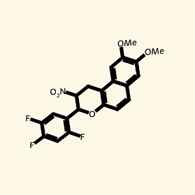 COc1cc2ccc3c(c2cc1OC)CC([N+](=O)[O-])C(c1cc(F)c(F)cc1F)O3